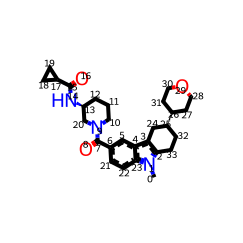 Cn1c2c(c3cc(C(=O)N4CCC[C@H](NC(=O)C5CC5)C4)ccc31)C[C@H](C1CCOCC1)CC2